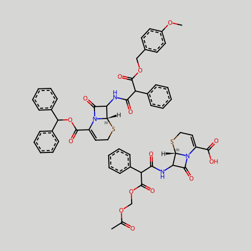 CC(=O)OCOC(=O)C(C(=O)NC1C(=O)N2C(C(=O)O)=CCS[C@@H]12)c1ccccc1.COc1ccc(COC(=O)C(C(=O)NC2C(=O)N3C(C(=O)OC(c4ccccc4)c4ccccc4)=CCS[C@@H]23)c2ccccc2)cc1